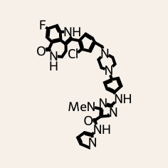 CNc1nc(Nc2ccc(N3CCN(Cc4ccc(-c5[nH]c6cc(F)cc7c6c5CCNC7=O)c(Cl)c4)CC3)cc2)ncc1C(=O)Nc1ccccn1